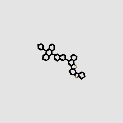 c1ccc(-c2c3ccccc3c(-c3ccc4cc(-c5cc6c7ccc8sc9ccccc9c8c7sc6c6ccccc56)ccc4c3)c3ccccc23)cc1